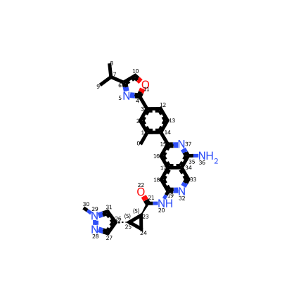 Cc1cc(-c2nc(C(C)C)co2)ccc1-c1cc2cc(NC(=O)[C@H]3C[C@@H]3c3cnn(C)c3)ncc2c(N)n1